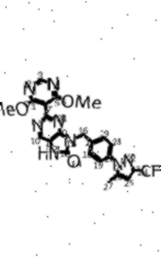 COc1ncnc(OC)c1-c1ncc2[nH]c(=O)n(Cc3ccc(-n4nc(C(F)(F)F)cc4C)cc3)c2n1